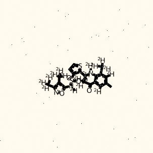 [2H]c1c(C)c([2H])c(C([2H])([2H])[2H])c(N([2H])C(=O)c2sccc2S(=O)(=O)N([2H])c2onc(C([2H])([2H])[2H])c2C([2H])([2H])[2H])c1C(=O)C([2H])([2H])[2H]